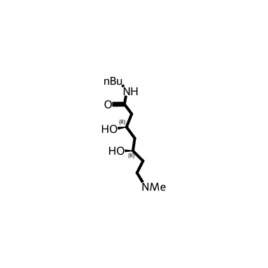 CCCCNC(=O)C[C@H](O)C[C@H](O)CCNC